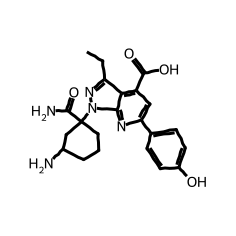 CCc1nn(C2(C(N)=O)CCCC(N)C2)c2nc(-c3ccc(O)cc3)cc(C(=O)O)c12